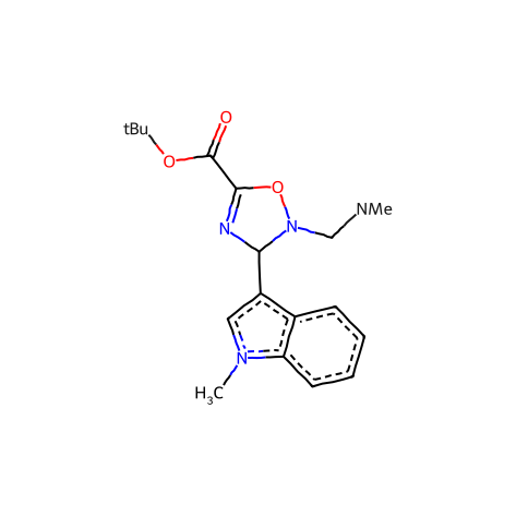 CNCN1OC(C(=O)OC(C)(C)C)=NC1c1cn(C)c2ccccc12